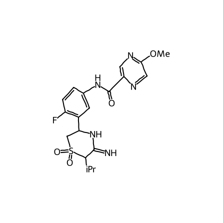 COc1cnc(C(=O)Nc2ccc(F)c(C3CS(=O)(=O)C(C(C)C)C(=N)N3)c2)cn1